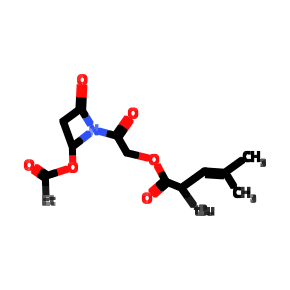 CCC(=O)OC1CC(=O)N1C(=O)COC(=O)C(C=C(C)C)C(C)(C)C